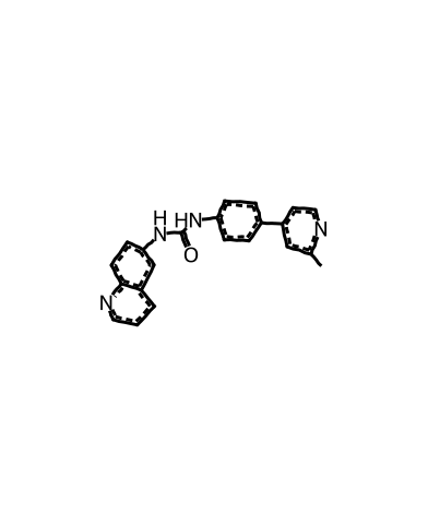 Cc1cc(-c2ccc(NC(=O)Nc3ccc4ncccc4c3)cc2)ccn1